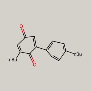 CCCCC1=CC(=O)C=C(c2ccc(CCCC)cc2)C1=O